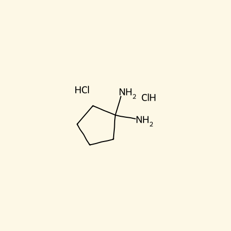 Cl.Cl.NC1(N)CCCC1